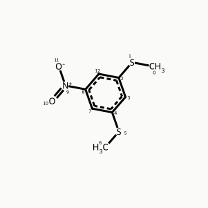 CSc1cc(SC)cc([N+](=O)[O-])c1